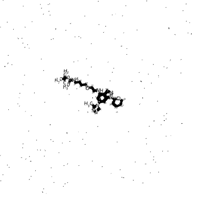 Cc1nncn1-c1cc(NCCOCCCCNC(=O)OC(C)(C)C)c2cnn(C3CCCCO3)c2c1